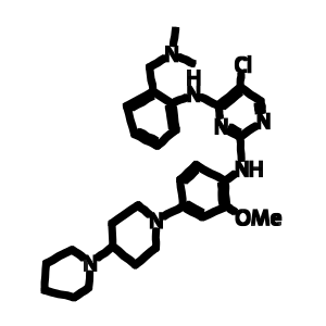 COc1cc(N2CCC(N3CCCCC3)CC2)ccc1Nc1ncc(Cl)c(Nc2ccccc2CN(C)C)n1